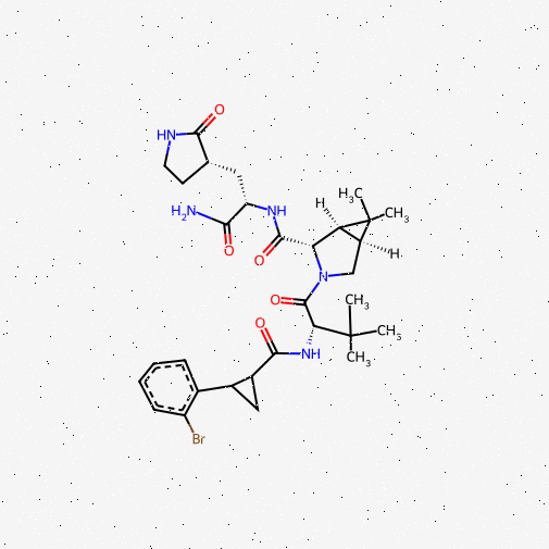 CC(C)(C)[C@H](NC(=O)C1CC1c1ccccc1Br)C(=O)N1C[C@H]2[C@@H]([C@H]1C(=O)N[C@@H](C[C@@H]1CCNC1=O)C(N)=O)C2(C)C